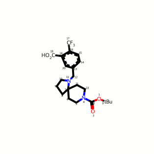 CC(C)(C)OC(=O)N1CCC2(CCCN2Cc2ccc(C(F)(F)F)c(C(=O)O)c2)CC1